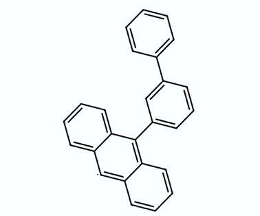 [c]1c2ccccc2c(-c2cccc(-c3ccccc3)c2)c2ccccc12